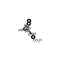 O=C(CNC(=O)C1CC(S)CN1S(=O)(=O)c1ccc2ccccc2c1)Nc1ccc(C(=O)O)cc1